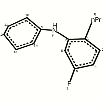 CCCc1ccc(F)cc1Nc1ccccc1